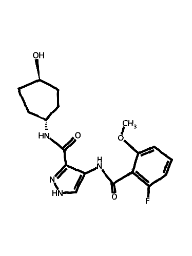 COc1cccc(F)c1C(=O)Nc1c[nH]nc1C(=O)N[C@H]1CC[C@H](O)CC1